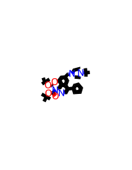 CC(C)(C)OC(=O)N(C(=O)OC(C)(C)C)c1ncc(-c2ccccc2)c2cc(CN3CCN(C(C)(C)C)CC3)ccc12